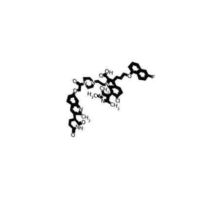 Cc1nc2cc(OCC(=O)N3CCN(CCn4c(C(=O)O)c(CCCOc5cccc6cc(F)ccc56)c5ccc(Cl)c(-c6c(C)nn(C)c6C)c54)CC3)ccc2cc1C1CCC(=O)NC1=O